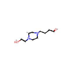 O=CCCCN1CCN(CCO)CC1